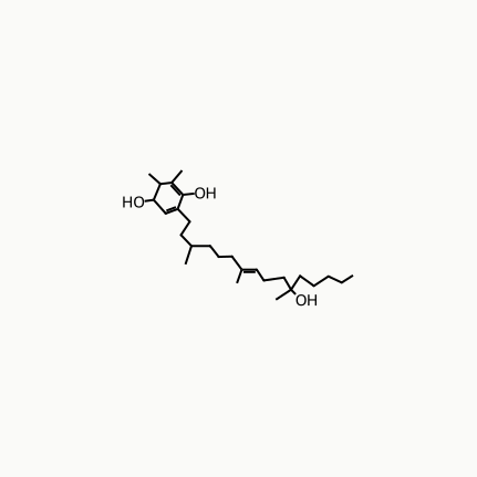 CCCCCC(C)(O)CC/C=C(\C)CCCC(C)CCC1=CC(O)C(C)C(C)=C1O